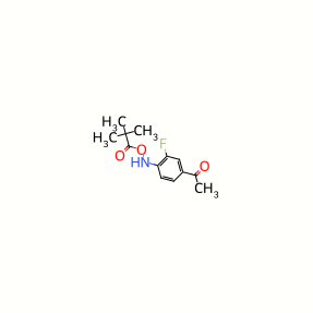 CC(=O)c1ccc(NOC(=O)C(C)(C)C)c(F)c1